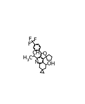 CC(C)c1nc2c(c3c1C(c1ccc(C(F)(F)F)cc1)OC31CCCC1)C(O)CC1(CC1)C2